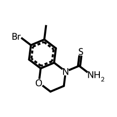 Cc1cc2c(cc1Br)OCCN2C(N)=S